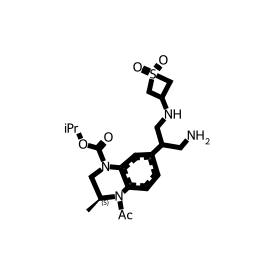 CC(=O)N1c2ccc(C(CN)CNC3CS(=O)(=O)C3)cc2N(C(=O)OC(C)C)C[C@@H]1C